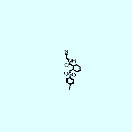 N#CCNC(=O)C1CCCCC1CS(=O)(=O)c1ccc(F)cc1